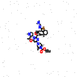 C[C@H](Oc1cc(N2C[C@H](C)N(C(=O)OC(C)(C)C)[C@@H](C)C2)nc(C(=O)C#C[C@@]2(C)CCCc3sc(/N=C/N(C)C)c(C#N)c32)n1)[C@@H]1CCCN1C